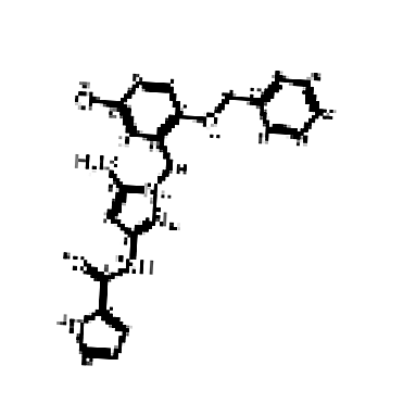 Cc1cc(NC(=O)c2ccco2)nn1Cc1cc(Cl)ccc1OCc1ccccc1